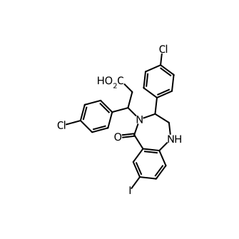 O=C(O)CC(c1ccc(Cl)cc1)N1C(=O)c2cc(I)ccc2NCC1c1ccc(Cl)cc1